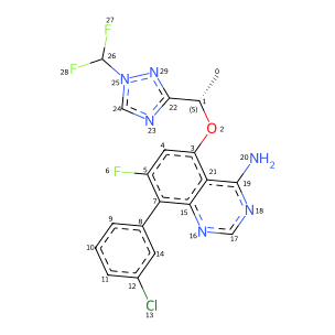 C[C@H](Oc1cc(F)c(-c2cccc(Cl)c2)c2ncnc(N)c12)c1ncn(C(F)F)n1